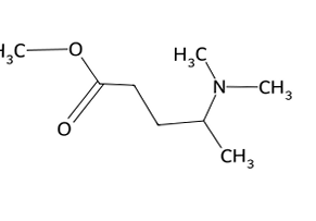 COC(=O)CCC(C)N(C)C